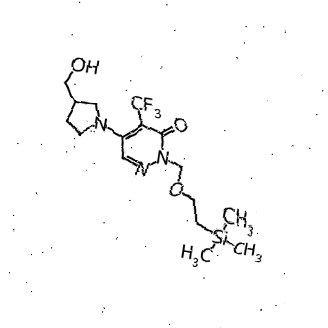 C[Si](C)(C)CCOCn1ncc(N2CCC(CO)C2)c(C(F)(F)F)c1=O